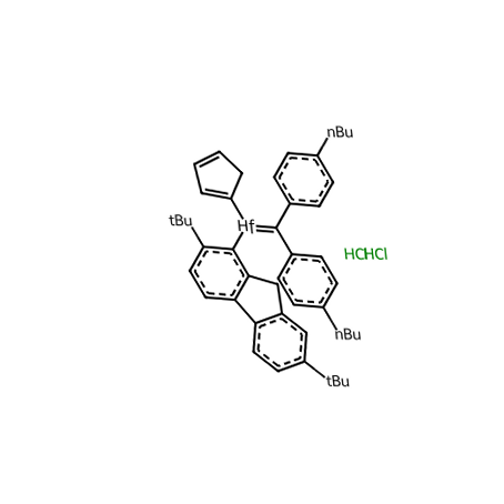 CCCCc1ccc([C](c2ccc(CCCC)cc2)=[Hf]([C]2=CC=CC2)[c]2c(C(C)(C)C)ccc3c2Cc2cc(C(C)(C)C)ccc2-3)cc1.Cl.Cl